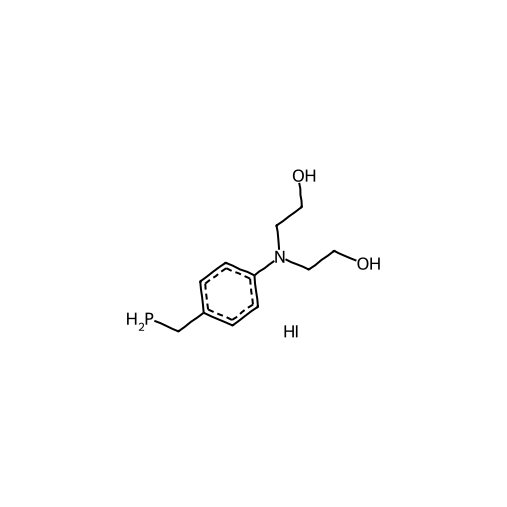 I.OCCN(CCO)c1ccc(CP)cc1